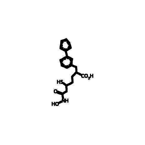 O=C(CC(S)CCC(Cc1cccc(-c2ccccc2)c1)C(=O)O)NO